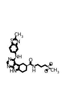 Cc1nc2cc(Nc3ncnc4[nH]c5c(c34)C[C@@H](C(=O)NCCCS(C)(=O)=O)CC5)ccc2s1